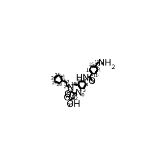 CN1c2ccc(NC(=O)c3ccc(CN)cc3)cc2CN(CCc2ccccc2)C(=O)[C@H]1CC(=O)O